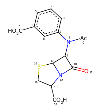 CC(=O)N(c1cccc(C(=O)O)c1)C1C(=O)N2C(C(=O)O)CSC12